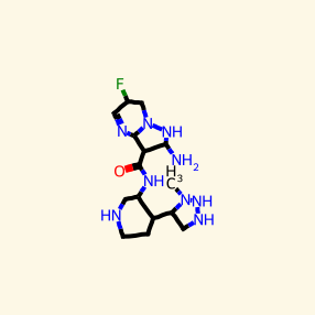 CN1NNCC1C1CCNCC1NC(=O)C1C(N)NN2CC(F)C=NC12